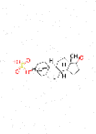 C[C@]12CC[C@H](OS(=O)(=O)O)CC1CC[C@@H]1[C@@H]2CC[C@]2(C)C(=O)CC[C@@H]12